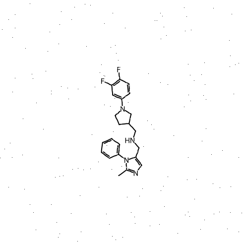 Cc1ncc(CNCC2CCN(c3ccc(F)c(F)c3)C2)n1-c1ccccc1